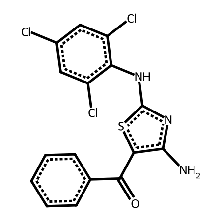 Nc1nc(Nc2c(Cl)cc(Cl)cc2Cl)sc1C(=O)c1ccccc1